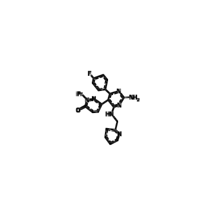 CC(C)n1nc(-c2c(NCc3ccccn3)nc(N)nc2-c2ccc(F)cc2)ccc1=O